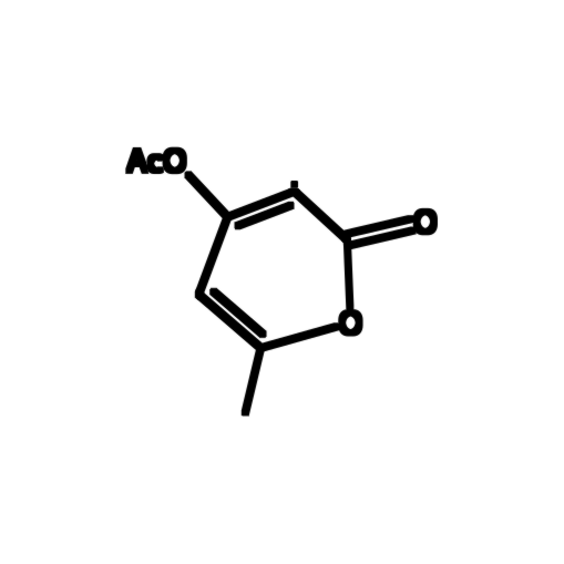 CC(=O)Oc1[c]c(=O)oc(C)c1